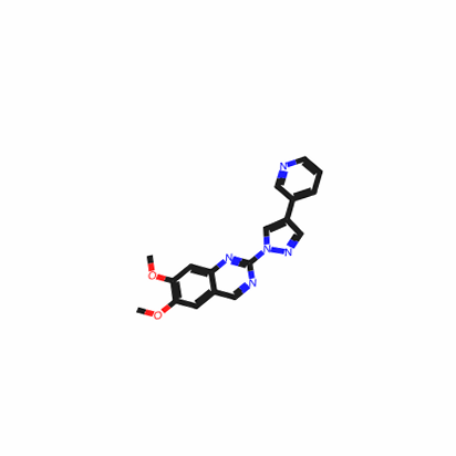 COc1cc2cnc(-n3cc(-c4cccnc4)cn3)nc2cc1OC